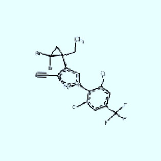 CCC1(c2cn(-c3c(Cl)cc(C(F)(F)F)cc3Cl)nc2C#N)CC1(Br)Br